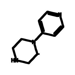 [CH]1CNCCN1c1ccncc1